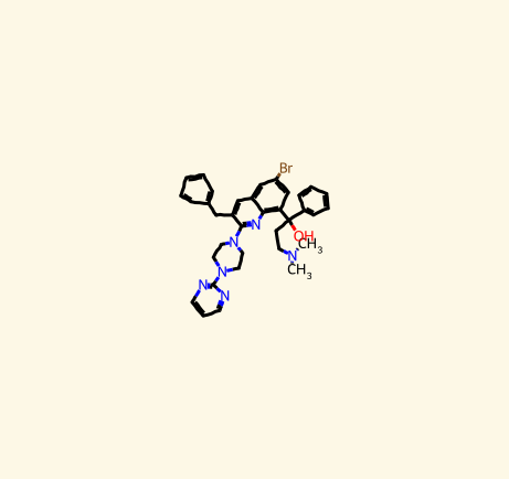 CN(C)CCC(O)(c1ccccc1)c1cc(Br)cc2cc(Cc3ccccc3)c(N3CCN(c4ncccn4)CC3)nc12